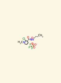 CCCCONC(=O)c1ccc[n+](C)c1Cl.O=S(=O)([O-])C(F)(F)F